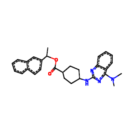 CC(OC(=O)C1CCC(Nc2nc(N(C)C)c3ccccc3n2)CC1)c1ccc2ccccc2c1